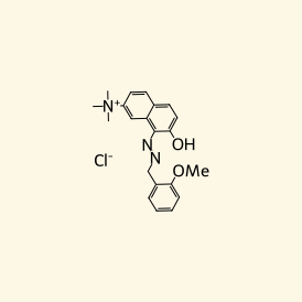 COc1ccccc1CN=Nc1c(O)ccc2ccc([N+](C)(C)C)cc12.[Cl-]